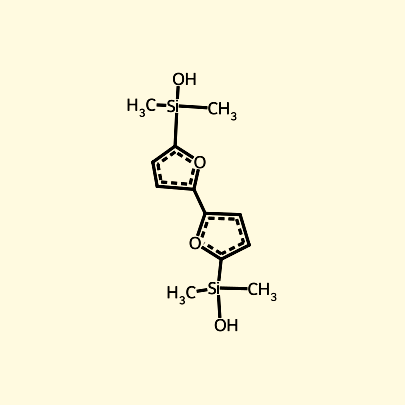 C[Si](C)(O)c1ccc(-c2ccc([Si](C)(C)O)o2)o1